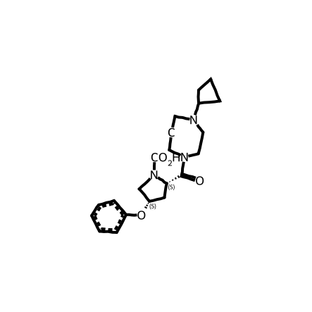 O=C([C@@H]1C[C@H](Oc2ccccc2)CN1C(=O)O)N1CCCN(C2CCC2)CC1